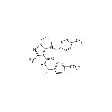 C[C@H](NC(=O)c1c(C(F)(F)F)nn2c1N(Cc1ccc(C(F)(F)F)cc1)CCC2)c1ccc(C(=O)O)cc1